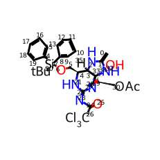 C=C1N[C@H]2[C@H](CO[Si](c3ccccc3)(c3ccccc3)C(C)(C)C)N/C(=N/C(=O)C(Cl)(Cl)Cl)N3C[C@H](OC(C)=O)[C@H](O)C23N1